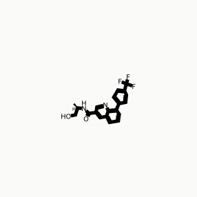 C[C@H](CO)NC(=O)c1cnc2c(-c3ccc(C(F)(F)F)cc3)cccc2c1